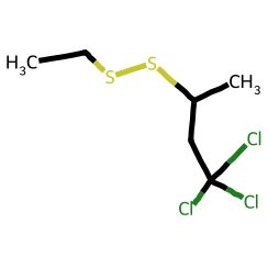 CCSSC(C)CC(Cl)(Cl)Cl